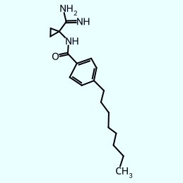 CCCCCCCCc1ccc(C(=O)NC2(C(=N)N)CC2)cc1